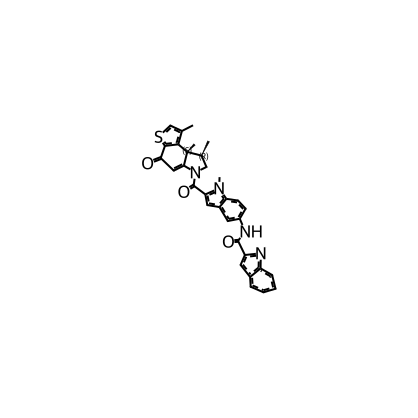 Cc1csc2c1[C@@]1(C)C(=CC2=O)N(C(=O)c2cc3cc(NC(=O)c4cc5ccccc5n4C)ccc3n2C)C[C@@H]1C